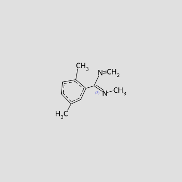 C=N/C(=N\C)c1cc(C)ccc1C